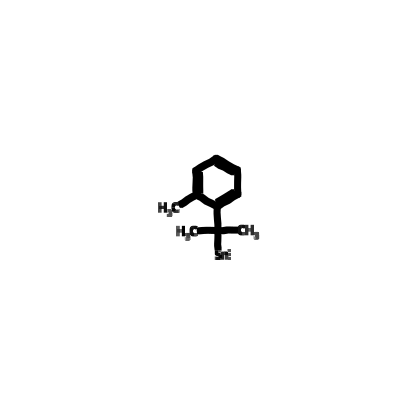 Cc1ccccc1[C](C)(C)[Sn]